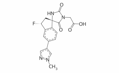 Cn1cc(-c2ccc3c(c2)[C@H](F)C[C@]32NC(=O)N(CC(=O)O)C2=O)cn1